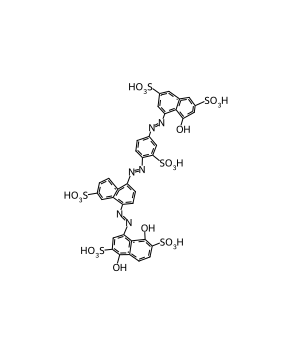 O=S(=O)(O)c1cc(O)c2c(N=Nc3ccc(N=Nc4ccc(N=Nc5cc(S(=O)(=O)O)c(O)c6ccc(S(=O)(=O)O)c(O)c56)c5cc(S(=O)(=O)O)ccc45)c(S(=O)(=O)O)c3)cc(S(=O)(=O)O)cc2c1